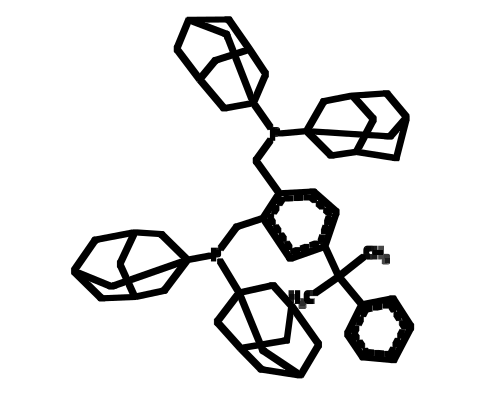 CC(C)(c1ccccc1)c1ccc(CP(C23CC4CC(CC(C4)C2)C3)C23CC4CC(CC(C4)C2)C3)c(CP(C23CC4CC(CC(C4)C2)C3)C23CC4CC(CC(C4)C2)C3)c1